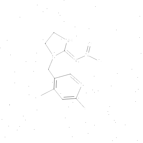 O=[N+]([O-])N=C1NCCN1Cc1cnc(I)cc1I